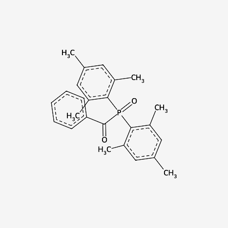 Cc1cc(C)c(P(=O)(C(=O)c2ccccc2)c2c(C)cc(C)cc2C)c(C)c1